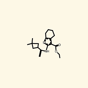 C=C(Nc1sc2c(c1C(=O)OCC)CCCC2)C1CC(C)(C)C1